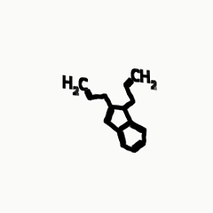 C=CCC1=Cc2ccccc2C1CC=C